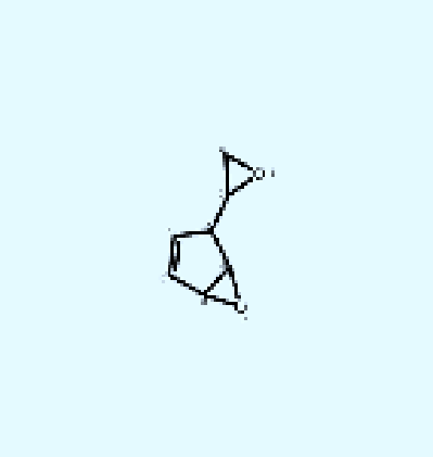 C1=CC(C2CO2)C2OC12